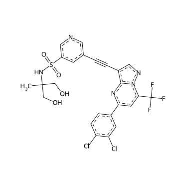 CC(CO)(CO)NS(=O)(=O)c1cncc(C#Cc2cnn3c(C(F)(F)F)cc(-c4ccc(Cl)c(Cl)c4)nc23)c1